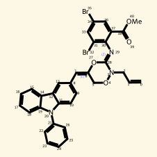 C=CCN1OC/C(=C\c2ccc3c(c2)c2ccccc2n3-c2ccccc2)O/C1=N\c1c(Br)cc(Br)cc1C(=O)OC